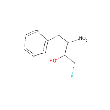 O=[N+]([O-])C(Cc1ccccc1)C(O)CF